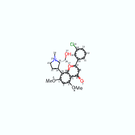 COc1cc(OC)c2c(=O)cc(-c3cccc(Cl)c3)oc2c1C1CCN(C)[C@@H]1CO